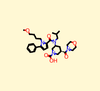 COCCCCn1c(C(=O)N(CC(C)C)[C@H]2C[C@@H](C(=O)N3CCOCC3)CN(C(=O)O)C2)ccc1-c1ccccc1